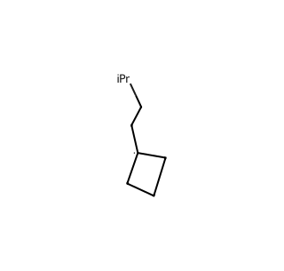 CC(C)CC[C]1CCC1